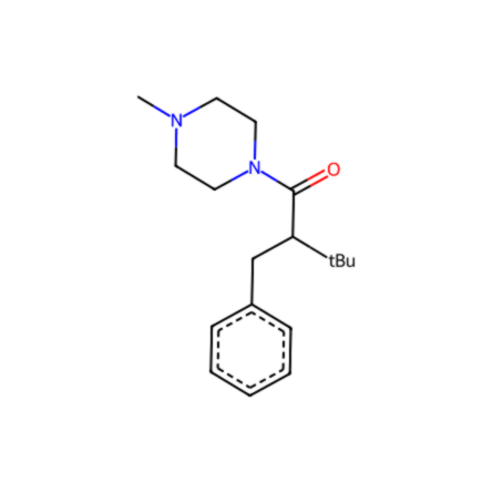 CN1CCN(C(=O)C(Cc2ccccc2)C(C)(C)C)CC1